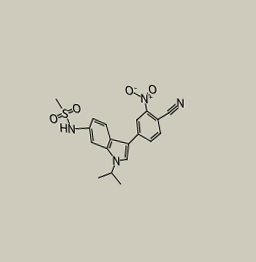 CC(C)n1cc(-c2ccc(C#N)c([N+](=O)[O-])c2)c2ccc(NS(C)(=O)=O)cc21